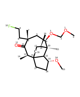 COCO[C@@H]1C[C@@](C)(CCF)C(=O)[C@H](C)C23CC[C@@H](C)[C@]1(C)C2[C@H](OC)CC3